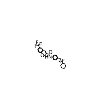 C[N+](C)(Cc1ccc(NC(=O)C2=Cc3cc(C(F)(F)F)ccc3OC2)cc1)C1CCCCC1